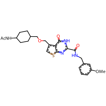 COc1cccc(CNC(=O)c2nc3scc(COCC4CCC(NC(C)=O)CC4)c3c(=O)[nH]2)c1